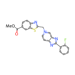 COC(=O)c1ccc2nc(Cn3ccc4nc(-c5ccccc5F)nc-4c3)sc2c1